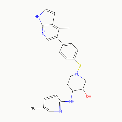 Cc1c(-c2ccc(SN3CCC(Nc4ccc(C#N)cn4)C(O)C3)cc2)cnc2[nH]ccc12